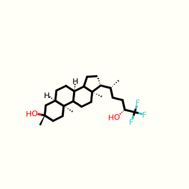 C[C@H](CC[C@@H](O)C(F)(F)F)[C@H]1CCC2[C@@H]3CC[C@@H]4C[C@@](C)(O)CC[C@]4(C)C3CC[C@@]21C